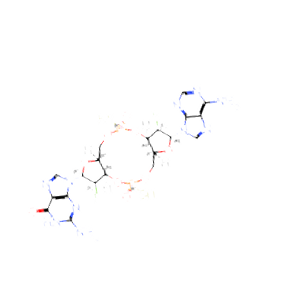 Nc1nc2c(ncn2[C@@H]2O[C@@H]3CO[P@@](=O)(S)O[C@H]4[C@@H](F)[C@H](n5cnc6c(N)ncnc65)O[C@@H]4CO[P@@](=O)(S)O[C@H]3[C@H]2F)c(=O)[nH]1